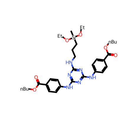 CCCCOC(=O)c1ccc(Nc2nc(NCCC[Si](C)(OCC)OCC)nc(Nc3ccc(C(=O)OCCCC)cc3)n2)cc1